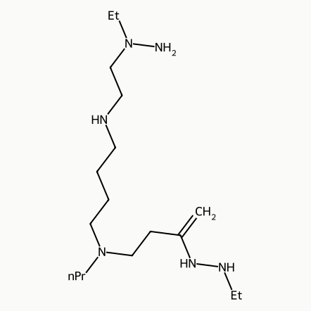 C=C(CCN(CCC)CCCCNCCN(N)CC)NNCC